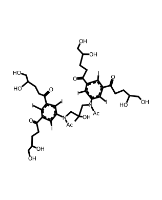 CC(=O)N(CC(C)(O)CN(C(C)=O)c1c(I)c(C(=O)CCC(O)CO)c(I)c(C(=O)CCC(O)CO)c1I)c1c(I)c(C(=O)CCC(O)CO)c(I)c(C(=O)CCC(O)CO)c1I